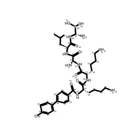 CC(C)C[C@H](NC(=O)[C@H](N)NC(=O)[C@H](CCCCN)NC(=O)[C@H](CCCCN)NC(=O)c1ccc(-c2ccc(Cl)cc2)cc1)C(=O)N[C@@H](N)B(O)O